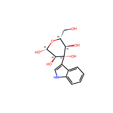 OC[C@H]1O[C@@H](O)[C@H](O)[C@](O)(c2c[nH]c3ccccc23)[C@@H]1O